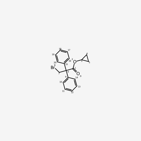 O=C(OC1CC1)C(CBr)(c1ccccc1)c1ccccc1